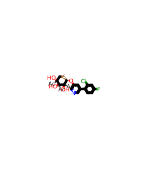 CC(=O)[C@]1(O)[C@@](O)(C(C)=O)CS[C@H](Oc2cncc(-c3ccc(F)cc3Cl)c2)[C@@]1(O)C(C)=O